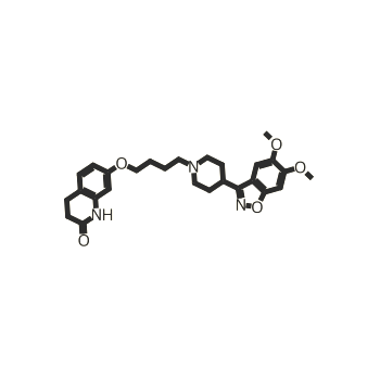 COc1cc2onc(C3CCN(CCCCOc4ccc5c(c4)NC(=O)CC5)CC3)c2cc1OC